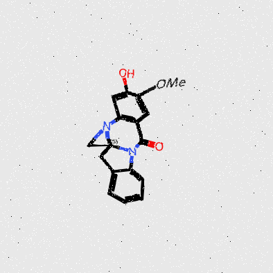 COc1cc2c(cc1O)N1C[C@@]13Cc1ccccc1N3C2=O